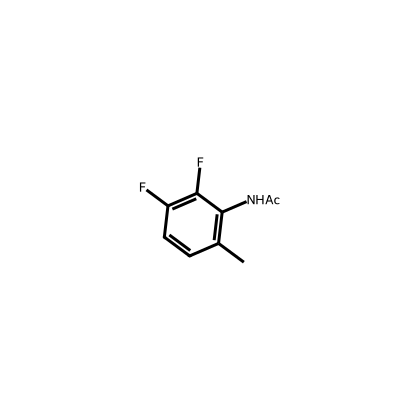 CC(=O)Nc1c(C)ccc(F)c1F